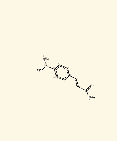 CCCCN(CCC)c1ccc(/C=C/C(=O)OC)cn1